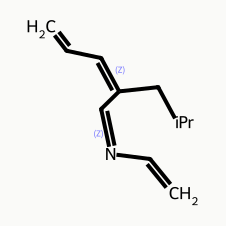 C=C/C=C(\C=N/C=C)CC(C)C